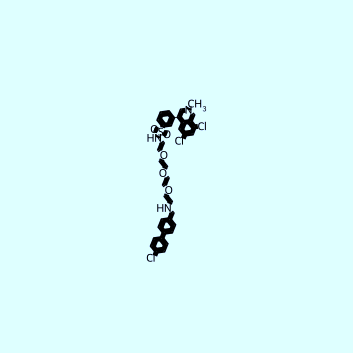 CN1Cc2c(Cl)cc(Cl)cc2[C@H](c2cccc(S(=O)(=O)NCCOCCOCCOCCNCc3ccc(-c4ccc(Cl)cc4)cc3)c2)C1